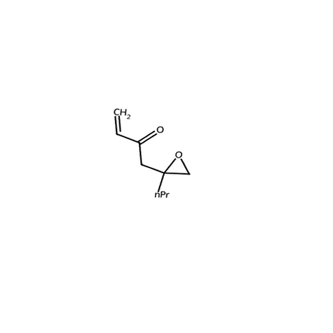 C=CC(=O)CC1(CCC)CO1